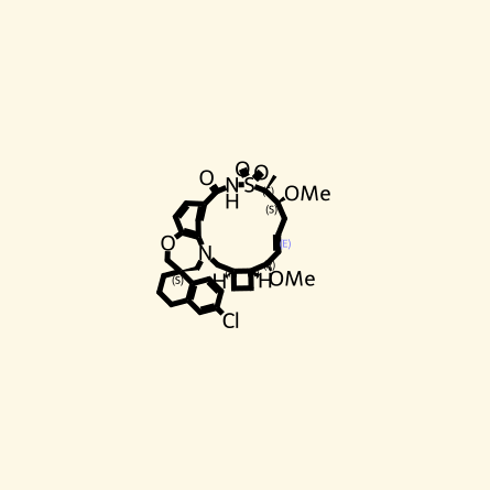 CO[C@H]1/C=C/C[C@H](OC)[C@H](C)S(=O)(=O)NC(=O)c2ccc3c(c2)N(C[C@@H]2CC[C@H]21)C[C@@]1(CCCc2cc(Cl)ccc21)CO3